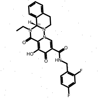 CCN1C(=O)c2c(O)c(=O)c(C(=O)NCc3ccc(F)cc3F)cn2N2CCc3ccccc3[C@@H]12